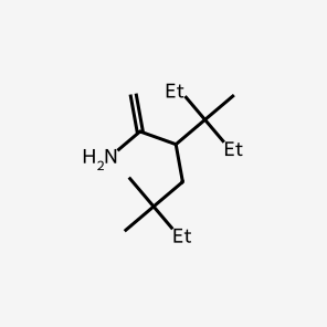 C=C(N)C(CC(C)(C)CC)C(C)(CC)CC